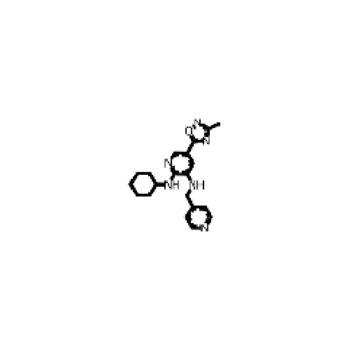 Cc1noc(-c2cnc(NC3CCCCC3)c(NCc3ccncc3)c2)n1